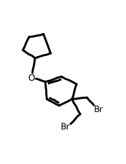 BrCC1(CBr)C=CC(OC2CCCC2)=CC1